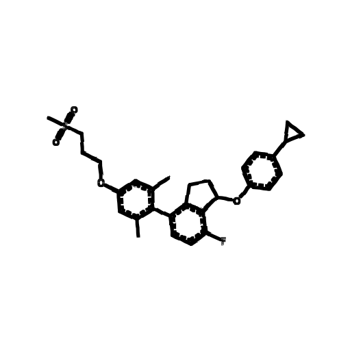 Cc1cc(OCCCS(C)(=O)=O)cc(C)c1-c1ccc(F)c2c1CCC2Oc1ccc(C2CC2)cc1